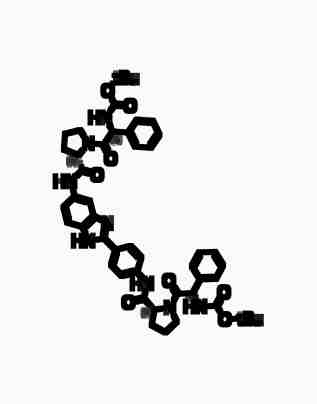 CC(C)(C)OC(=O)N[C@H](C(=O)N1CCC[C@H]1C(=O)Nc1ccc(-c2nc3cc(NC(=O)[C@@H]4CCCN4C(=O)[C@@H](NC(=O)OC(C)(C)C)c4ccccc4)ccc3[nH]2)cc1)c1ccccc1